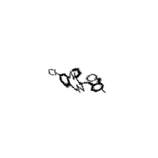 Cc1ccc2c(C3=NCc4ccc(Cl)cc4-n4cccc43)occ2c1